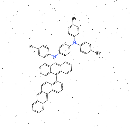 CC(C)c1ccc(N(c2ccc(C(C)C)cc2)c2ccc(N(c3ccc(C(C)C)cc3)c3c4ccccc4c(-c4cccc5c4ccc4cc6ccccc6cc45)c4ccccc34)cc2)cc1